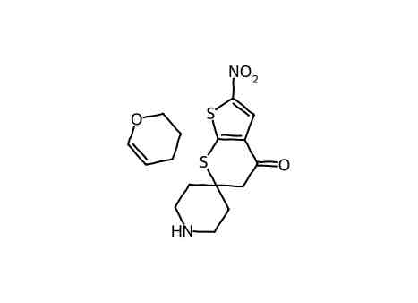 C1=COCCC1.O=C1CC2(CCNCC2)Sc2sc([N+](=O)[O-])cc21